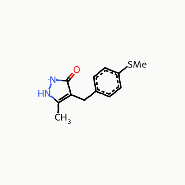 CSc1ccc(CC2=C(C)N[N]C2=O)cc1